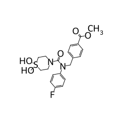 COC(=O)c1ccc(CN(C(=O)N2CCS(O)(O)CC2)c2ccc(F)cc2)cc1